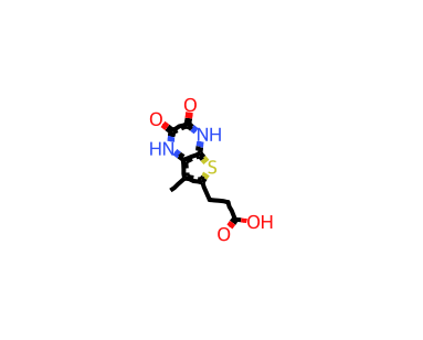 Cc1c(CCC(=O)O)sc2[nH]c(=O)c(=O)[nH]c12